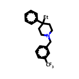 CCC1(c2ccccc2)CCN(Cc2cccc(C(F)(F)F)c2)CC1